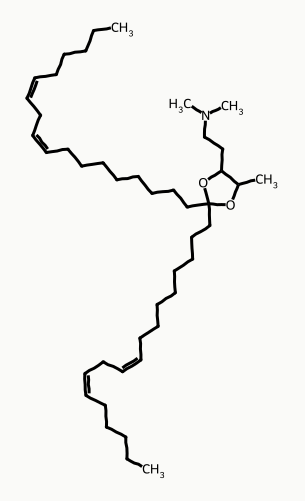 CCCCC/C=C\C/C=C\CCCCCCCCC1(CCCCCCCC/C=C\C/C=C\CCCCC)OC(C)C(CCN(C)C)O1